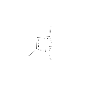 CC(C)(C)n1nc(I)cc1I